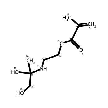 C=C(C)C(=O)OCCNC(C)(O)CO